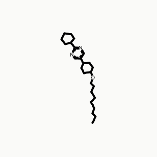 CCCCCCCCCOC1CCC(c2cnc(C3CCCCC3)nc2)CC1